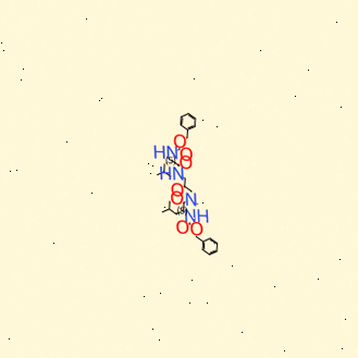 CC(C)C[C@H](NC(=O)OCc1ccccc1)C(=O)NCC(=O)CN(C)C(=O)[C@H](CC(C)C)NC(=O)OCc1ccccc1